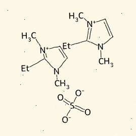 CCc1n(C)cc[n+]1C.CCc1n(C)cc[n+]1C.O=S(=O)([O-])[O-]